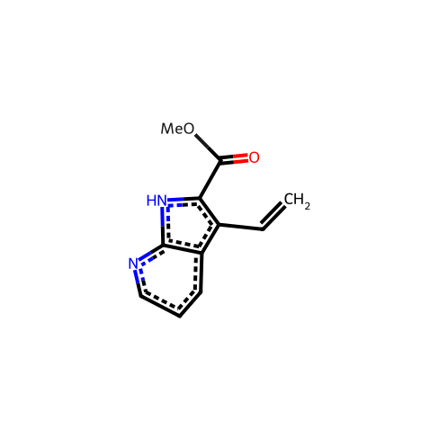 C=Cc1c(C(=O)OC)[nH]c2ncccc12